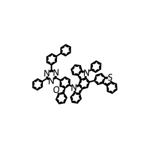 c1ccc(-c2cccc(-c3nc(-c4ccccc4)nc(-c4ccc(-n5c6ccccc6c6cc(-c7ccc8sc9ccccc9c8c7)c7c(c8ccccc8n7-c7ccccc7)c65)c5c4oc4ccccc45)n3)c2)cc1